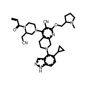 C=CC(=O)N1CCN(c2c(C#N)c(OCC3CCCN3C)nc3c2CCN(c2c(C4CC4)ccc4[nH]ncc24)C3)CC1CC#N